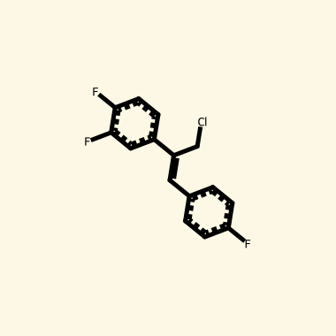 Fc1ccc(/C=C(\CCl)c2ccc(F)c(F)c2)cc1